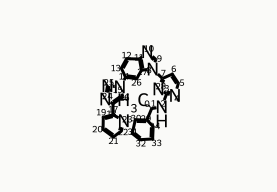 C[C@H](Nc1nccc(-n2cnc3ccc(-n4cc(-c5ccccn5)nn4)cc32)n1)c1ccccc1